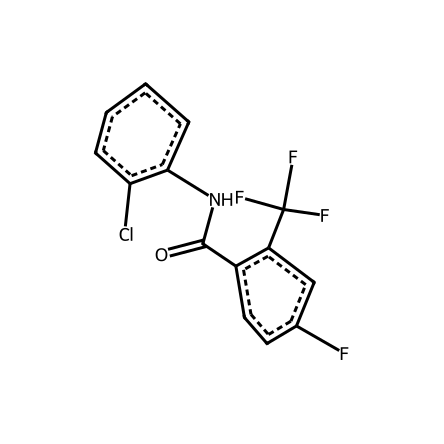 O=C(Nc1ccccc1Cl)c1ccc(F)cc1C(F)(F)F